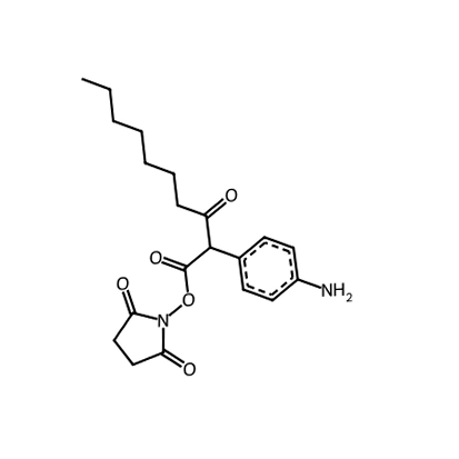 CCCCCCCC(=O)C(C(=O)ON1C(=O)CCC1=O)c1ccc(N)cc1